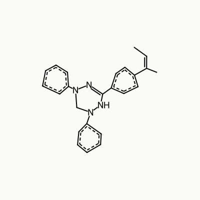 C/C=C(/C)c1ccc(C2=NN(c3ccccc3)CN(c3ccccc3)N2)cc1